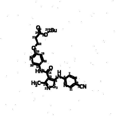 Cc1nsc(Nc2ccc(C#N)cn2)c1C(=O)Nc1ccc(OCCC(=O)OC(C)(C)C)nc1